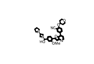 COc1cc(C(O)N2CC(N3CCCC3)C2)ccc1-c1cc2nccc(-c3ccc(OC4CCOCC4)c(C#N)c3)c2o1